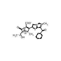 C[C@@H](O)[C@H]1C(=O)N2C(C(=O)[O-])=C(c3c[n+]4cn(C)c(C(=O)c5ccccc5)c4s3)[C@H](C)[C@H]12